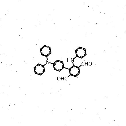 O=Cc1ccc(C=O)c(-c2ccc(N(c3ccccc3)c3ccccc3)cc2)c1Nc1ccccc1